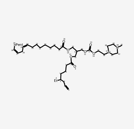 C=CCC(CC)CCCC(=O)OCC(COC(=O)CCCCCCC/C=C\C/C=C\CCCCC)COC(=O)OCCN1CCN(C)CC1